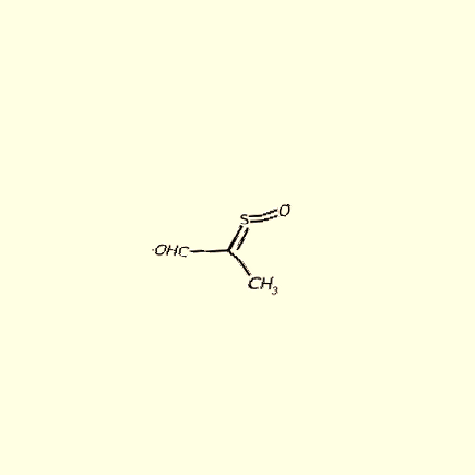 CC([C]=O)=S=O